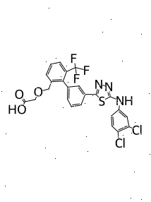 O=C(O)COCc1cccc(C(F)(F)F)c1-c1cccc(-c2nnc(Nc3ccc(Cl)c(Cl)c3)s2)c1